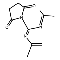 C=C(C)/N=C(\N=C(C)C)N1C(=O)CCC1=O